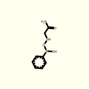 NC(=O)CNOB(O)c1ccccc1